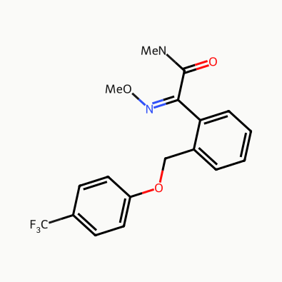 CNC(=O)C(=NOC)c1ccccc1COc1ccc(C(F)(F)F)cc1